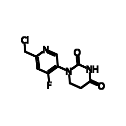 O=C1CCN(c2cnc(CCl)cc2F)C(=O)N1